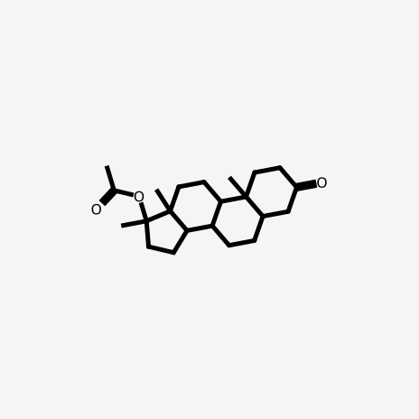 CC(=O)OC1(C)CCC2C3CCC4CC(=O)CCC4(C)C3CCC21C